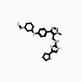 Cn1nnc(-c2ccc(OC3CCC[C@H](C=O)C3)cc2)c1CNc1ncc(C2CCCC2)o1